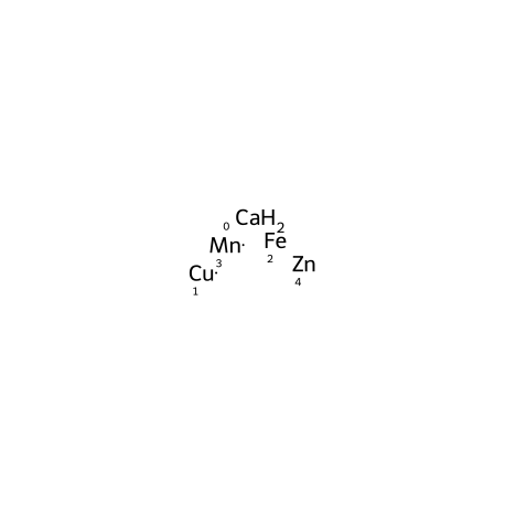 [CaH2].[Cu].[Fe].[Mn].[Zn]